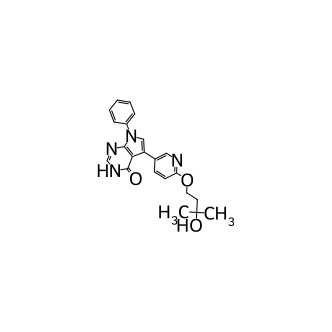 CC(C)(O)CCOc1ccc(-c2cn(-c3ccccc3)c3nc[nH]c(=O)c23)cn1